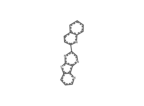 c1ccc2nc(-c3cnc4c(n3)sc3cccnc34)ccc2c1